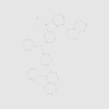 CC1(C)c2cc(N(c3ccccc3)c3ccc(-c4ccc5ccccc5c4-c4ccccc4)cc3)ccc2-c2c(-c3cccc4ccccc34)cccc21